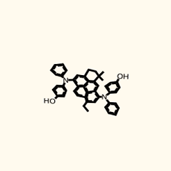 CCc1cc(N(c2ccccc2)c2ccc(O)cc2)c2cc3c4c(cc(N(c5ccccc5)c5ccc(O)cc5)c5ccc1c2c54)CCC3(C)C